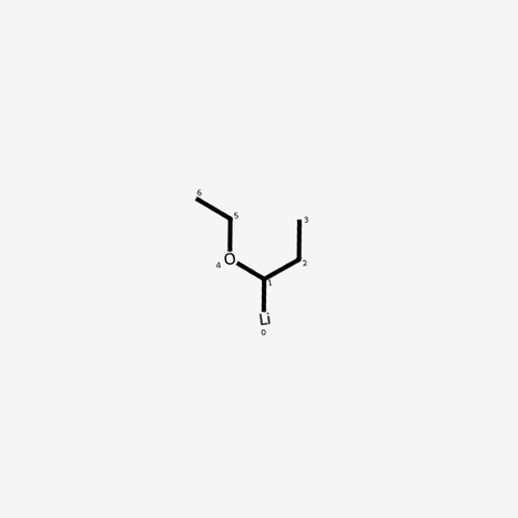 [Li][CH](CC)OCC